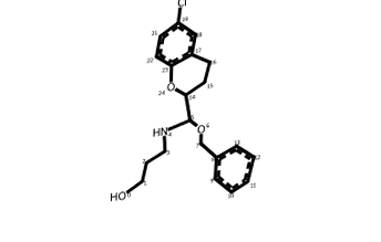 OCCCNC(OCc1ccccc1)C1CCc2cc(Cl)ccc2O1